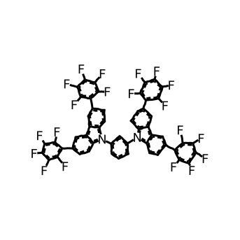 Fc1c(F)c(F)c(-c2ccc3c(c2)c2cc(-c4c(F)c(F)c(F)c(F)c4F)ccc2n3-c2cccc(-n3c4ccc(-c5c(F)c(F)c(F)c(F)c5F)cc4c4cc(-c5c(F)c(F)c(F)c(F)c5F)ccc43)c2)c(F)c1F